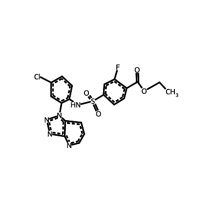 CCOC(=O)c1ccc(S(=O)(=O)Nc2ccc(Cl)cc2-n2nnc3ncccc32)cc1F